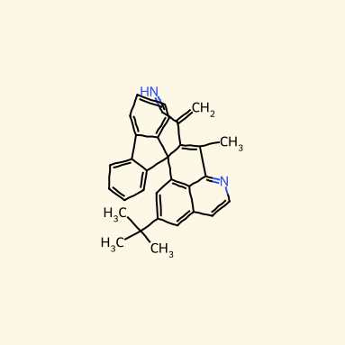 C=C(C=N)C1=C(C)c2nccc3cc(C(C)(C)C)cc(c23)C12c1ccccc1-c1ccccc12